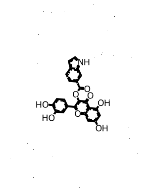 O=C(Oc1c(-c2ccc(O)c(O)c2)oc2cc(O)cc(O)c2c1=O)c1ccc2cc[nH]c2c1